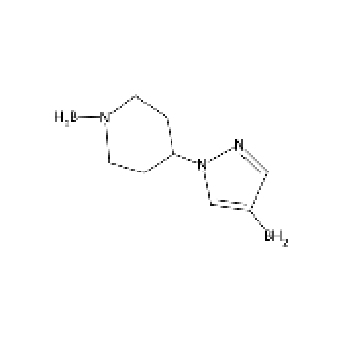 Bc1cnn(C2CCN(B)CC2)c1